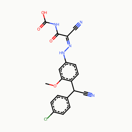 COc1cc(NN=C(C#N)C(=O)NC(=O)O)ccc1C(C#N)c1ccc(Cl)cc1